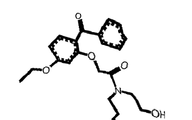 CCOc1ccc(C(=O)c2ccccc2)c(OCC(=O)N(CCO)CCO)c1